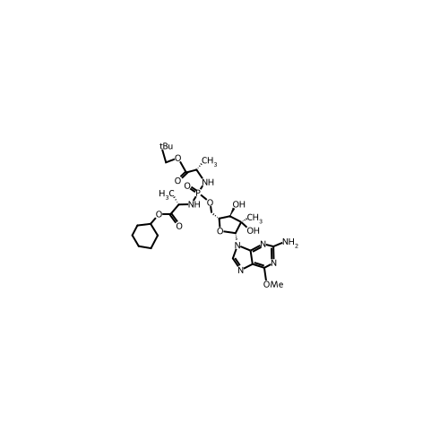 COc1nc(N)nc2c1ncn2[C@@H]1O[C@H](COP(=O)(N[C@@H](C)C(=O)OCC(C)(C)C)N[C@@H](C)C(=O)OC2CCCCC2)[C@@H](O)[C@@]1(C)O